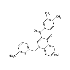 Cc1ccc(C(=O)c2cn(Cc3cccc(C(=O)O)n3)c3ccccc3c2=O)cc1C.Cl